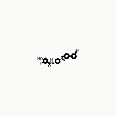 N#Cc1cccc(-c2ccc3cn([C@H]4CC[C@H](CNC(=O)c5cc(F)c(O)c(F)c5)CC4)nc3c2)c1